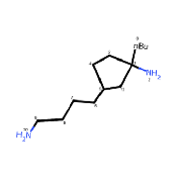 CCCCC1(N)CCC(CCCCN)C1